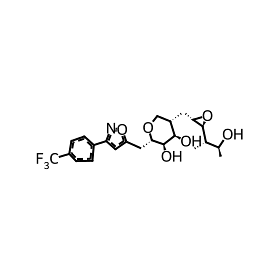 C[C@H]([C@@H]1O[C@H]1C[C@H]1CO[C@@H](Cc2cc(-c3ccc(C(F)(F)F)cc3)no2)[C@H](O)[C@@H]1O)[C@H](C)O